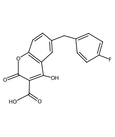 O=C(O)c1c(O)c2cc(Cc3ccc(F)cc3)ccc2oc1=O